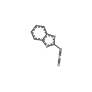 O=C=Nc1nc2cc[c]cc2s1